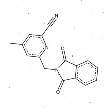 Cc1cc(C#N)nc(CN2C(=O)c3ccccc3C2=O)c1